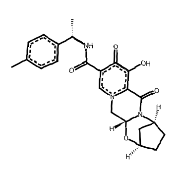 Cc1ccc([C@H](C)NC(=O)c2cn3c(c(O)c2=O)C(=O)N2[C@H]4CC[C@H](C4)O[C@@H]2C3)cc1